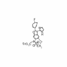 CCOC(=O)CN(c1cc2oc(-c3ccc(F)cc3)c(-c3ncc[nH]3)c2cc1C1CC1)S(C)(=O)=O